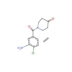 C=C.Nc1cc(C(=O)N2CCC(=O)CC2)ccc1Cl